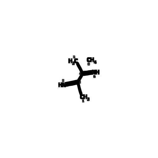 C.CC(=N)C(C)=N